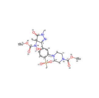 CN1N=C(c2ccc(S(C)(=O)=O)c(N3CCN(C(=O)OC(C)(C)C)CC3)c2)C(C)(N(O)C(=O)OC(C)(C)C)C1=O